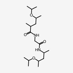 CC(CC(C)OC(C)C)NC(=O)CNC(=O)C(C)CC(C)OC(C)C